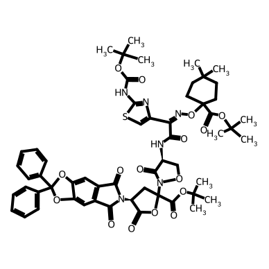 CC1(C)CCC(O/N=C(\C(=O)N[C@H]2CON(C3(C(=O)OC(C)(C)C)C[C@H](N4C(=O)c5cc6c(cc5C4=O)OC(c4ccccc4)(c4ccccc4)O6)C(=O)O3)C2=O)c2csc(NC(=O)OC(C)(C)C)n2)(C(=O)OC(C)(C)C)CC1